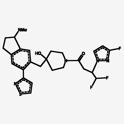 CNC1CCc2cc(-c3ccsn3)c(CC3(O)CCN(C(=O)CC(C(F)F)n4ccc(F)n4)CC3)cc21